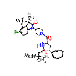 CNC(C)(C)CC(=O)NC(CCc1ccccc1)C(=O)N1CCC(N2C(=O)C(C)(C)c3cc(F)ccc32)CC1